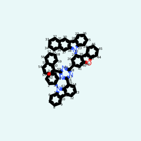 c1ccc(-n2c3ccccc3c3cccc(-c4nc(-c5cc(-n6c7ccccc7c7cc8ccccc8cc76)c6c(c5)oc5ccccc56)nc(-c5cccc6ccccc56)n4)c32)cc1